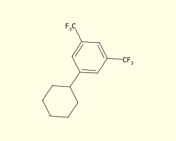 FC(F)(F)c1cc(C2CC[CH]CC2)cc(C(F)(F)F)c1